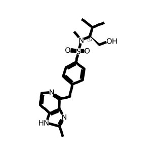 Cc1nc2c(Cc3ccc(S(=O)(=O)N(C)[C@H](CO)C(C)C)cc3)nccc2[nH]1